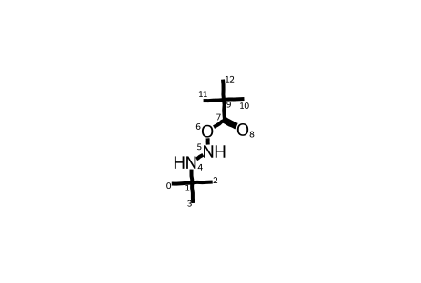 CC(C)(C)NNOC(=O)C(C)(C)C